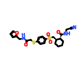 N#CCNC(=O)[C@@H]1CCCC[C@H]1CS(=O)(=O)c1ccc(SCC(=O)NCc2ccco2)cc1